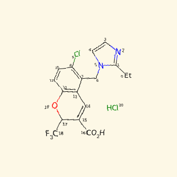 CCc1nccn1Cc1c(Cl)ccc2c1C=C(C(=O)O)C(C(F)(F)F)O2.Cl